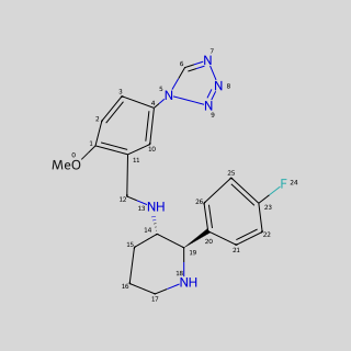 COc1ccc(-n2cnnn2)cc1CN[C@H]1CCCN[C@@H]1c1ccc(F)cc1